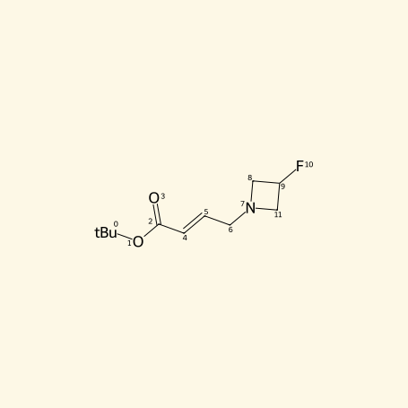 CC(C)(C)OC(=O)/C=C/CN1CC(F)C1